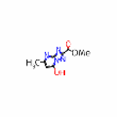 COC(=O)c1nc2nc(C)cc(O)n2n1